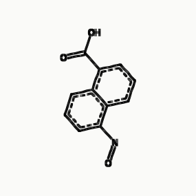 O=Nc1cccc2c(C(=O)O)cccc12